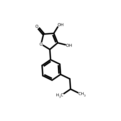 CC(C)Cc1cccc(C2OC(=O)C(O)=C2O)c1